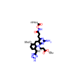 CCCCCCC(=O)ONC(=O)CCc1nc(N)nc(N[C@@H](CCCC)CC(=O)OC(C)(C)C)c1Cc1cc(Cc2nn[nH]n2)ccc1OC